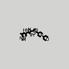 Cc1cc(-c2[nH]nc(-c3cnc(C4CCN(C5CCOCC5)CC4)s3)c2C(C)C)cn2ncnc12